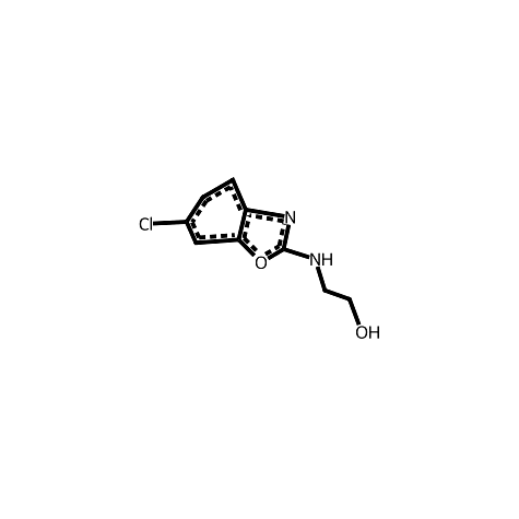 OCCNc1nc2ccc(Cl)cc2o1